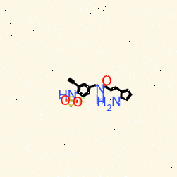 C#Cc1cc(CNC(=O)/C=C/C2=CC=CC2N)cc(F)c1NS(C)(=O)=O